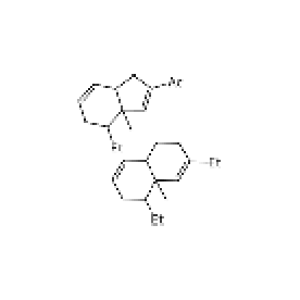 CCC1=CC2(C)C(C=CCC2CC)CC1.CCC1CC=CC2CC(C(C)=O)=CC21C